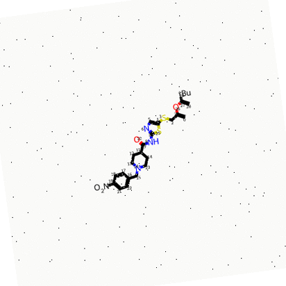 C=C(CSc1cnc(NC(=O)C2CCN(Cc3ccc([N+](=O)[O-])cc3)CC2)s1)OC(=C)C(C)(C)C